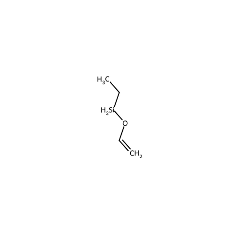 C=CO[SiH2]CC